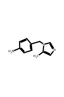 Cc1cncn1Cc1ccc(N)cc1